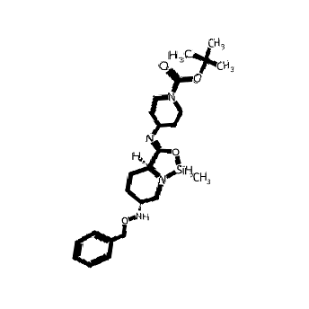 C[SiH]1O/C(=N\C2CCN(C(=O)OC(C)(C)C)CC2)[C@@H]2CC[C@@H](NOCc3ccccc3)CN21